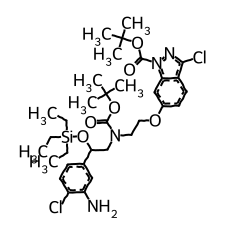 CC[Si](CC)(CC)OC(CN(CCOc1ccc2c(Cl)nn(C(=O)OC(C)(C)C)c2c1)C(=O)OC(C)(C)C)c1ccc(Cl)c(N)c1